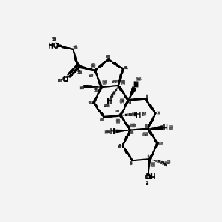 C[C@]1(O)CC[C@H]2[C@H](CC[C@@H]3[C@@H]2CC[C@]2(C)[C@@H](C(=O)CO)CC[C@@H]32)C1